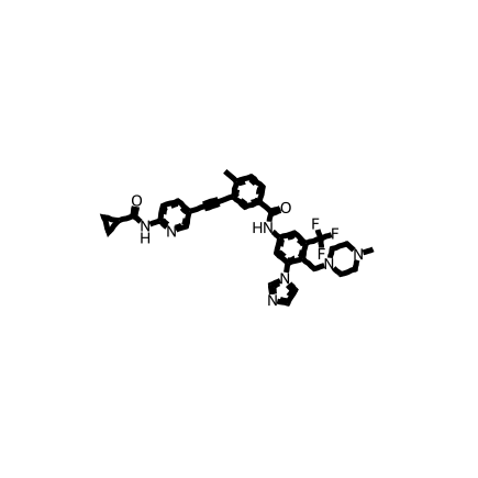 Cc1ccc(C(=O)Nc2cc(-n3ccnc3)c(CN3CCN(C)CC3)c(C(F)(F)F)c2)cc1C#Cc1ccc(NC(=O)C2CC2)nc1